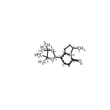 CC1CCc2c(B3OC(C)(C)C(C)(C)O3)ccc(=O)n21